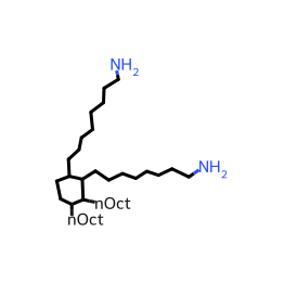 CCCCCCCCC1CCC(CCCCCCCCN)C(CCCCCCCCN)C1CCCCCCCC